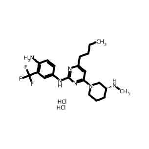 CCCCc1cc(N2CCC[C@@H](NC)C2)nc(Nc2ccc(N)c(C(F)(F)F)c2)n1.Cl.Cl